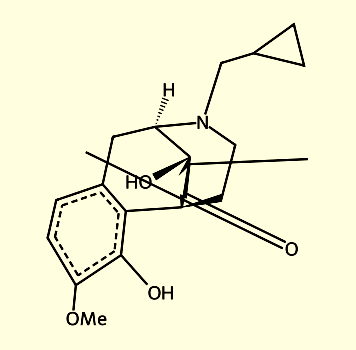 COc1ccc2c(c1O)[C@]13CCN(CC4CC4)[C@H](C2)[C@]1(O)CC(C)C(=O)C3